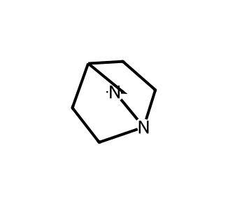 C1CN2CCC1C[N]2